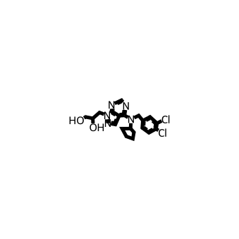 OCC(O)Cn1ncc2c(N(Cc3ccc(Cl)c(Cl)c3)C3CCCC3)ncnc21